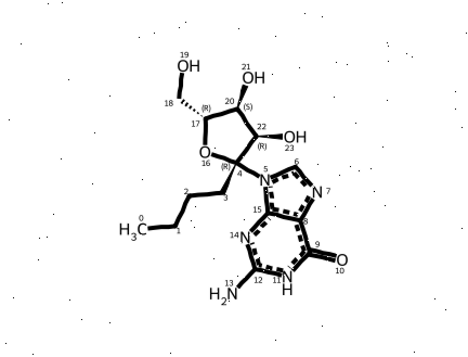 CCCC[C@@]1(n2cnc3c(=O)[nH]c(N)nc32)O[C@H](CO)[C@@H](O)[C@H]1O